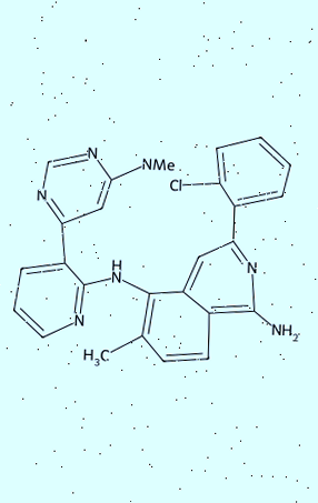 CNc1cc(-c2cccnc2Nc2c(C)ccc3c(N)nc(-c4ccccc4Cl)cc23)ncn1